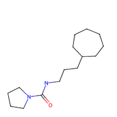 O=C([N]CCCC1CCCCCC1)N1CCCC1